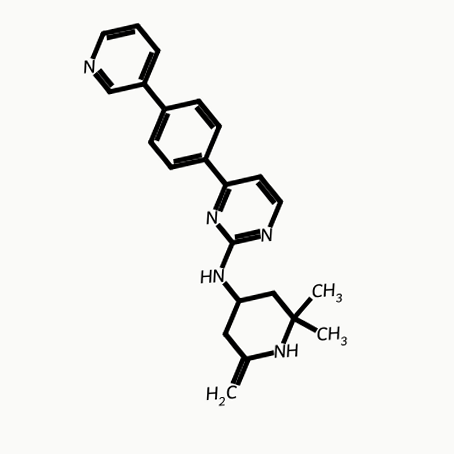 C=C1CC(Nc2nccc(-c3ccc(-c4cccnc4)cc3)n2)CC(C)(C)N1